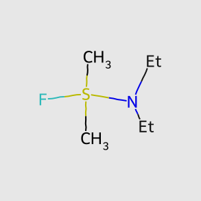 CCN(CC)S(C)(C)F